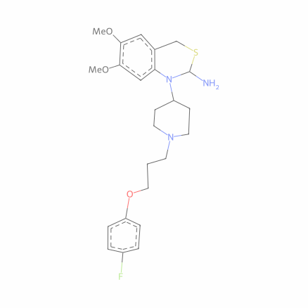 COc1cc2c(cc1OC)N(C1CCN(CCCOc3ccc(F)cc3)CC1)C(N)SC2